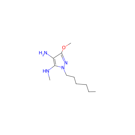 CCCCCCn1nc(OC)c(N)c1NC